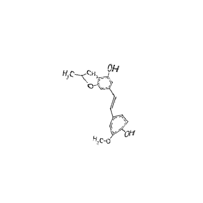 COc1cc(/C=C/c2cc(O)cc(OC(C)C)c2)ccc1O